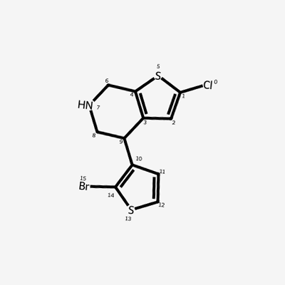 Clc1cc2c(s1)CNCC2c1ccsc1Br